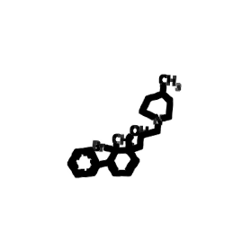 CC1CCN(CCCC2(CO)C=CC=C(c3ccccc3)C2(C)Br)CC1